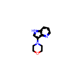 c1cnc2c(N3CCOCC3)c[nH]c2c1